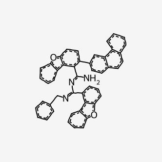 N/C(=N\C(=N/Cc1ccccc1)c1cccc2oc3ccccc3c12)c1c(-c2ccc3ccc4ccccc4c3c2)ccc2oc3ccccc3c12